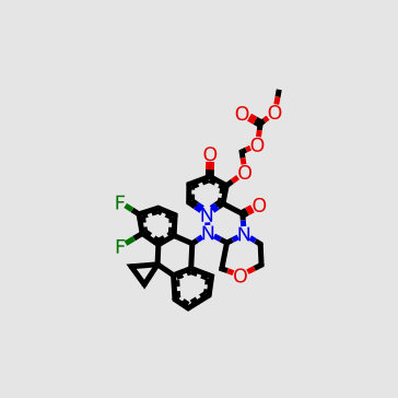 COC(=O)OCOc1c2n(ccc1=O)N(C1c3ccccc3C3(CC3)c3c1ccc(F)c3F)C1COCCN1C2=O